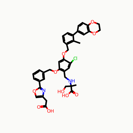 Cc1c(COc2cc(OCc3cccc(-c4nc(CC(=O)O)co4)c3)c(CNC(C)(CO)C(=O)O)cc2Cl)cccc1-c1ccc2c(c1)OCCO2